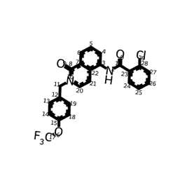 O=C(Nc1cccc2c(=O)n(Cc3ccc(OC(F)(F)F)cc3)ccc12)c1ccccc1Cl